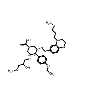 CCOc1ccc([C@@H]2[C@@H](OCc3ccc4c(c3)N(CCCOC)CCO4)CN(C(=O)O)C[C@H]2OCC(O)COC)cc1